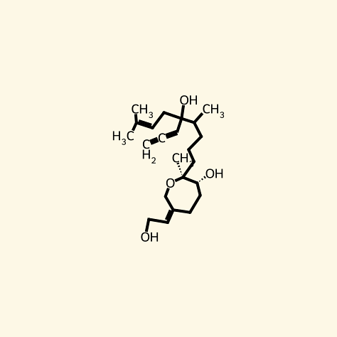 C=C=CC(O)(CC=C(C)C)C(C)CCC[C@]1(C)OCC(=CCO)CC[C@H]1O